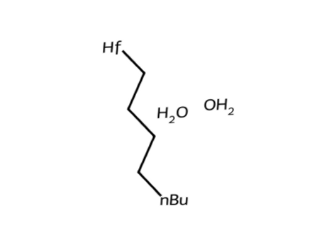 CCCCCCC[CH2][Hf].O.O